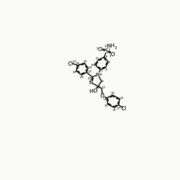 NS(=O)(=O)c1ccc(N2CC(O)(COc3ccc(Cl)cc3)N=C2c2ccc(Cl)cc2)cc1